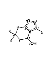 Cc1coc2c1C(O)CC(C)(C)C2